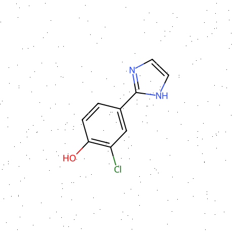 Oc1ccc(-c2ncc[nH]2)cc1Cl